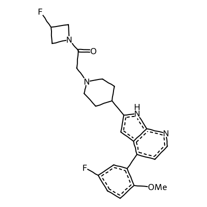 COc1ccc(F)cc1-c1ccnc2[nH]c(C3CCN(CC(=O)N4CC(F)C4)CC3)cc12